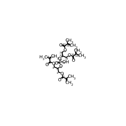 C=C(C)C(=O)OCC(COC(=O)C(=C)C)OP(=O)(O)OC(COC(=O)C(=C)C)COC(=O)C(=C)C